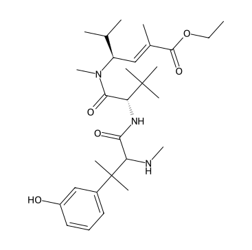 CCOC(=O)/C(C)=C/[C@H](C(C)C)N(C)C(=O)[C@@H](NC(=O)C(NC)C(C)(C)c1cccc(O)c1)C(C)(C)C